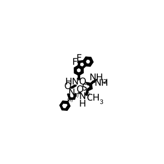 C[C@@H](NC(=O)[C@@H]1C[C@@H](C2=CCCC=C2)CN1C(=O)CNC(=O)c1ccc2c(c1)-c1ccccc1C2(F)F)c1cc(C(=N)N)cs1